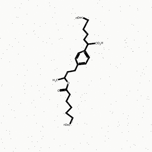 CCCCCCCCCCCCCCCC(=O)OC(C)CCc1ccc(C(CCCCCCCCCCCCCC)C(=O)O)cc1